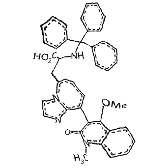 COc1c(-c2ccc(CC(NC(c3ccccc3)(c3ccccc3)c3ccccc3)C(=O)O)n3ccnc23)c(=O)n(C)c2ccccc12